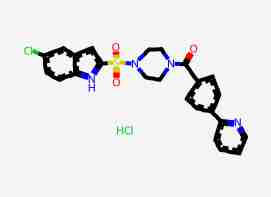 Cl.O=C(c1ccc(-c2ccccn2)cc1)N1CCN(S(=O)(=O)c2cc3cc(Cl)ccc3[nH]2)CC1